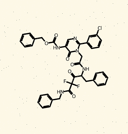 O=C(Cn1c(-c2cccc(Cl)c2)ncc(NC(=O)OCc2ccccc2)c1=O)NC(Cc1ccccc1)C(=O)C(F)(F)C(=O)NCc1ccccc1